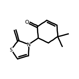 C=C1SC=CN1C1CC(C)(C)C=CC1=O